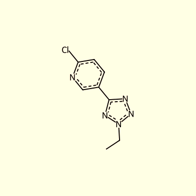 CCn1nnc(-c2ccc(Cl)nc2)n1